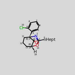 CCCCCCCC1=N[C@@]2(c3ccccc3Cl)CCC[C@@H](O1)C2=O